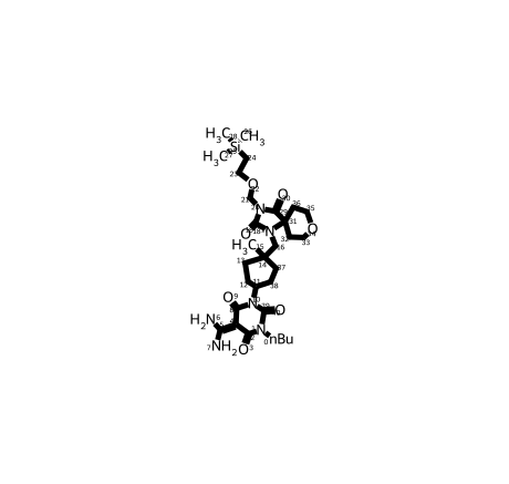 CCCCN1C(=O)C(=C(N)N)C(=O)N(C2CCC(C)(CN3C(=O)N(COCC[Si](C)(C)C)C(=O)C34CCOCC4)CC2)C1=O